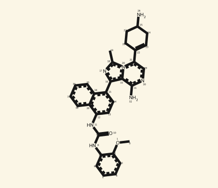 COc1ccccc1NC(=O)Nc1ccc(-c2nc(C)n3c(C4=CCC(N)CC4)cnc(N)c23)c2ccccc12